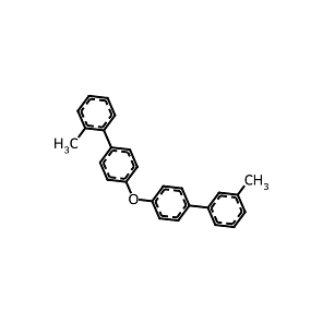 Cc1cccc(-c2ccc(Oc3ccc(-c4ccccc4C)cc3)cc2)c1